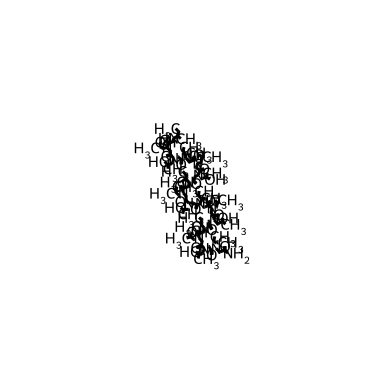 CCC(C)NCC(=O)N(CC(=O)N(CC(=O)N(CC(=O)N(CC(=O)N(CC(=O)N(CC(=O)N(CC(=O)N(CC(=O)N(CC(=O)N(CC(=O)N(CC(=O)N(CC(=O)N(CC(=O)N(CC(=O)N(CC(N)=O)C(C)CC)CC(C)O)CC(C)O)C(C)CC)CC(C)O)CC(C)O)C(C)CC)CC(C)O)CC(C)C)C(C)CC)CC(C)O)CC(C)O)C(C)CC)CC(C)O)CC(C)O